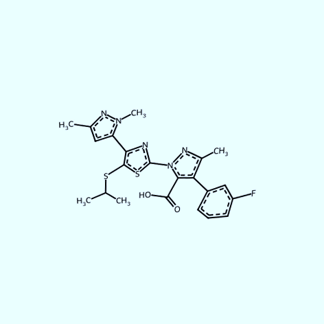 Cc1cc(-c2nc(-n3nc(C)c(-c4cccc(F)c4)c3C(=O)O)sc2SC(C)C)n(C)n1